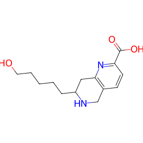 O=C(O)c1ccc2c(n1)CC(CCCCCO)NC2